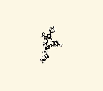 CC(=O)c1nn(CC(=O)N2[C@H](C(=O)Nc3nc(Br)ccc3C)C[C@@]3(CNc4ccn(CC(F)(F)F)n4)C[C@@H]23)c2c(C)cc(-c3cnc(C)nc3)cc12